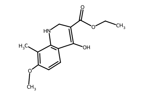 CCOC(=O)C1=C(O)c2ccc(OC)c(C)c2NC1